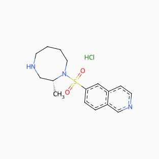 C[C@@H]1CNCCCCN1S(=O)(=O)c1ccc2cnccc2c1.Cl